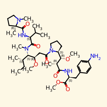 CC[C@H](C)[C@@H]([C@@H](CC(=O)N1CCC[C@H]1[C@H](OC)[C@@H](C)C(=O)N[C@@H](Cc1ccc(N)cc1)C(=O)OC)OC)N(C)C(=O)[C@@H](NC(=O)[C@@]1(C)CCCN1C)C(C)C